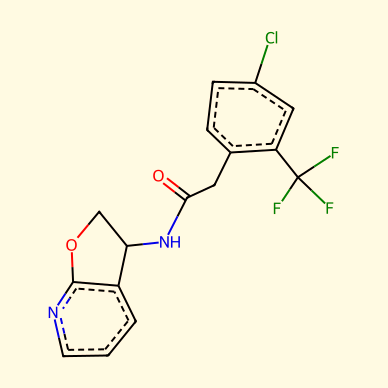 O=C(Cc1ccc(Cl)cc1C(F)(F)F)NC1COc2ncccc21